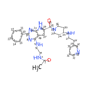 CC(=O)NCCNc1nc(-c2ccccc2)nc2[nH]c(C(=O)N3CCC(NCCc4cccnc4)CC3)cc12